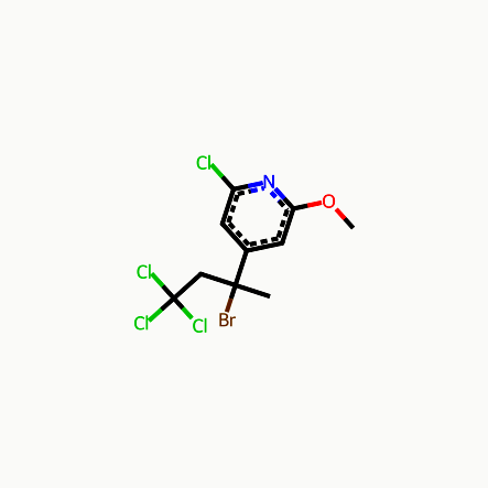 COc1cc(C(C)(Br)CC(Cl)(Cl)Cl)cc(Cl)n1